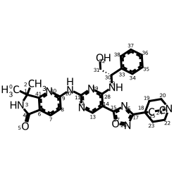 CC1(C)NC(=O)c2ccc(Nc3ncc(-c4nc(C56CCN(CC5)CC6)no4)c(N[C@H](CO)c4ccccc4)n3)nc21